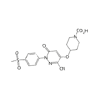 CS(=O)(=O)c1ccc(-n2nc(C#N)c(OC3CCN(C(=O)O)CC3)cc2=O)cc1